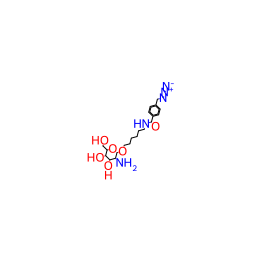 [N-]=[N+]=NCc1ccc(C(=O)NCCCCCCO[C@@H]2OC(CO)[C@@H](O)C(O)C2N)cc1